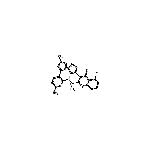 Cc1noc(-c2cnc(N)nc2N[C@@H](C)c2nc3cccc(Cl)c3c(=O)n2-c2cn[nH]c2)n1